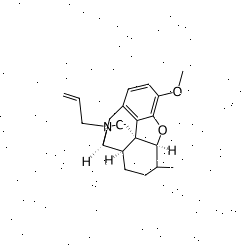 C=CCN1CC[C@]23c4c5ccc(OC)c4O[C@H]2C(C)CC[C@H]3[C@H]1C5